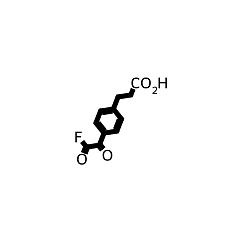 O=C(O)CCc1ccc(C(=O)C(=O)F)cc1